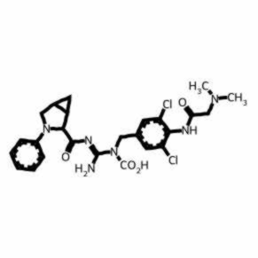 CN(C)CC(=O)Nc1c(Cl)cc(CN(C(=O)O)C(N)=NC(=O)C2C3CC3CN2c2ccccc2)cc1Cl